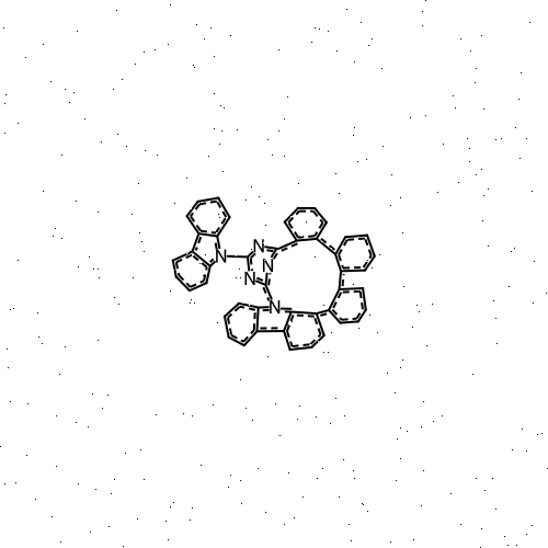 c1ccc2c(c1)c1nc(-n3c4ccccc4c4ccccc43)nc(n1)n1c3ccccc3c3cccc(c4ccccc4c4ccccc24)c31